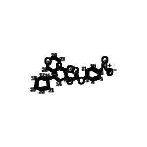 O=C(Oc1ccc([N+](=O)[O-])cc1)O[C@@H](CCc1ccccc1)C(=O)N1CCOCC1